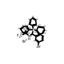 O=C(NC(c1cccc(Br)c1)[P+](c1ccccc1)(c1ccccc1)c1ccccc1)C(F)(F)F.[Br-]